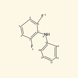 Fc1cccc(F)c1Nc1ccccc1